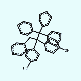 Oc1ccc(C(Cc2ccccc2)(c2ccc(O)cc2)C(c2ccccc2)(c2ccccc2)c2ccccc2)cc1